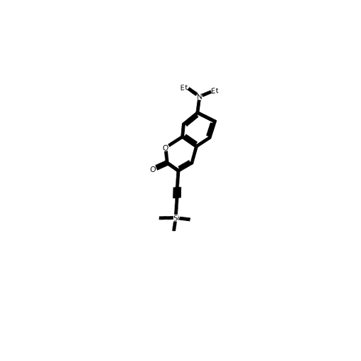 CCN(CC)c1ccc2cc(C#C[Si](C)(C)C)c(=O)oc2c1